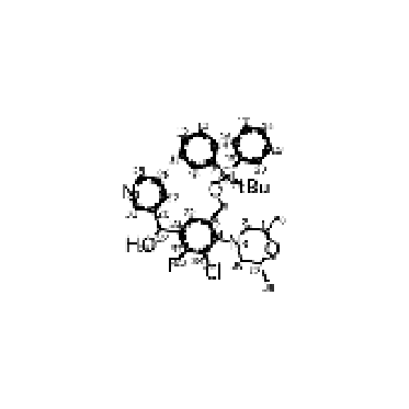 C[C@@H]1CN(c2c(CO[Si](c3ccccc3)(c3ccccc3)C(C)(C)C)cc(C(O)c3cccnc3)c(F)c2Cl)C[C@H](C)O1